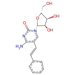 Nc1nc(=O)n([C@@H]2O[C@H](CO)[C@@H](O)[C@H]2O)cc1/C=C/c1ccccc1